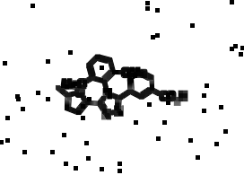 COc1cccc(OC)c1-n1c(-c2cccc(C(=O)O)c2)nnc1-c1ccc(C)o1